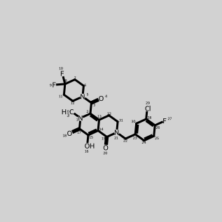 Cn1c(C(=O)N2CCC(F)(F)CC2)c2c(c(O)c1=O)C(=O)N(Cc1ccc(F)c(Cl)c1)CC2